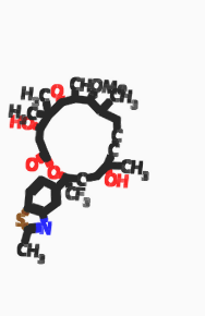 COC1C(C)CCCC(C)(O)CCC(c2ccc3sc(C)nc3c2)(C(F)(F)F)OC(=O)CC(O)C(C)(C)C(=O)C1C